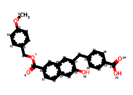 COc1ccc(COC(=O)c2ccc3cc(O)c(Cc4ccc(C(=O)O)cc4)cc3c2)cc1